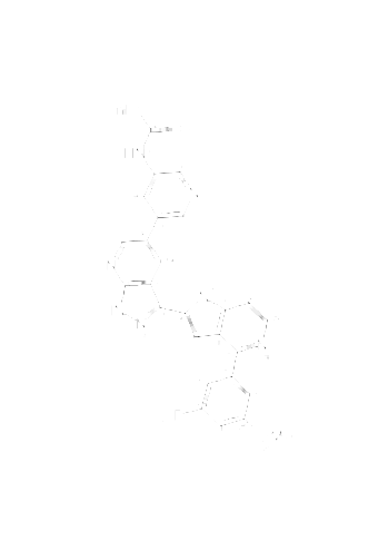 CCCC(=O)Nc1cncc(-c2cnc3[nH]nc(-c4cc5c(-c6cc(F)cc(OC)c6)nccc5[nH]4)c3c2)c1